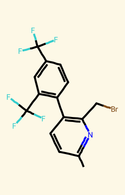 Cc1ccc(-c2ccc(C(F)(F)F)cc2C(F)(F)F)c(CBr)n1